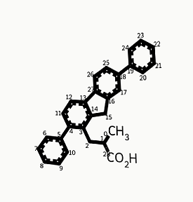 CC(Cc1c(-c2ccccc2)ccc2c1Cc1cc(-c3ccccc3)ccc1-2)C(=O)O